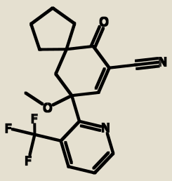 COC1(c2ncccc2C(F)(F)F)C=C(C#N)C(=O)C2(CCCC2)C1